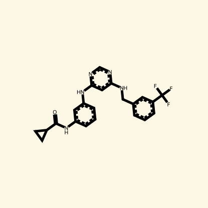 O=C(Nc1cccc(Nc2cc(NCc3cccc(C(F)(F)F)c3)ncn2)c1)C1CC1